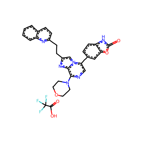 O=C(O)C(F)(F)F.O=c1[nH]c2ccc(-c3cnc(N4CCOCC4)c4nc(CCc5ccc6ccccc6n5)cn34)cc2o1